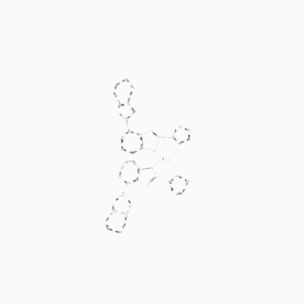 C[Si](C)=[Zr+2]([CH]1C(c2ccco2)=Cc2c(-c3cc4ccccc4o3)cccc21)[CH]1C(c2ccco2)=Cc2c(-c3cc4ccccc4o3)cccc21.[Cl-].[Cl-]